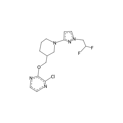 FC(F)Cn1ccc(N2CCCC(COc3nccnc3Cl)C2)n1